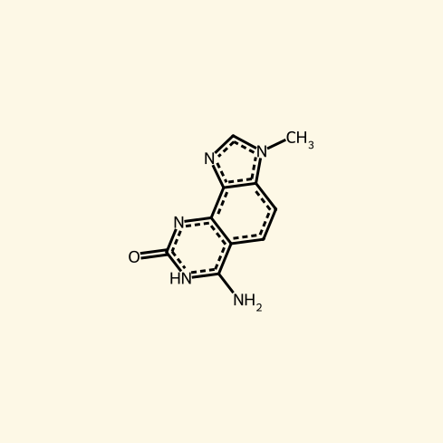 Cn1cnc2c3nc(=O)[nH]c(N)c3ccc21